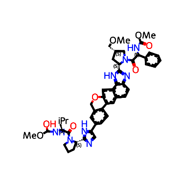 COC[C@H]1C[C@@H](c2nc3ccc4cc5c(cc4c3[nH]2)OCc2cc(-c3cnc([C@@H]4CCCN4C(=O)[C@@H](NC(O)OC)C(C)C)[nH]3)ccc2-5)N(C(=O)[C@H](NC(=O)OC)c2ccccc2)C1